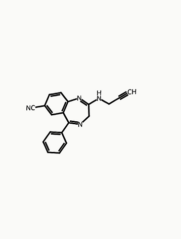 C#CCNC1=Nc2ccc(C#N)cc2C(c2ccccc2)=NC1